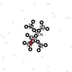 N#Cc1cc(-n2c3ccc(-c4nc(-c5ccccc5)nc(-c5ccccc5)n4)cc3c3cc(-c4nc(-c5ccccc5)nc(-c5ccccc5)n4)ccc32)c(-c2nc(-c3ccccc3)cc(-c3ccccc3)n2)cc1-n1c2ccc(-c3nc(-c4ccccc4)nc(-c4ccccc4)n3)cc2c2cc(-c3nc(-c4ccccc4)nc(-c4ccccc4)n3)ccc21